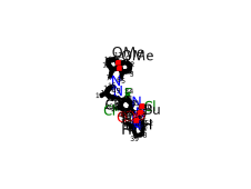 COc1ccc(CN(Cc2ccc(OC)cc2)c2cc(C)c(C(F)(F)F)c(-c3c(Cl)c4c5c(nc(Cl)nc5c3F)N3C[C@H]5CC[C@@H]([C@H]3CO4)N5C(=O)OC(C)(C)C)n2)cc1